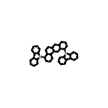 c1cc(-n2c3ccccc3c3ccccc32)c2cc3c(ccc4c(-n5c6ccccc6c6ccccc65)cccc43)cc2c1